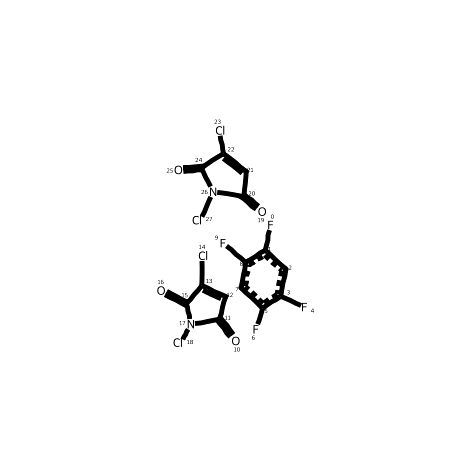 Fc1cc(F)c(F)cc1F.O=C1C=C(Cl)C(=O)N1Cl.O=C1C=C(Cl)C(=O)N1Cl